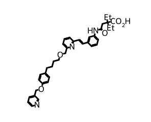 CCC(CC)(CC(=O)Nc1cccc(/C=C/c2cccc(COCCCCc3ccc(OCc4cccnc4)cc3)n2)c1)C(=O)O